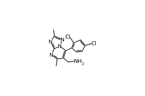 Cc1nc2nc(C)c(CN)c(-c3ccc(Cl)cc3Cl)n2n1